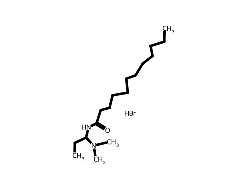 Br.CCCCCCCCCCCC(=O)NC(CC)N(C)C